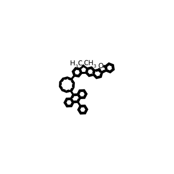 CC1(C)c2ccc(-c3ccccccc(-c4c5ccccc5c(-c5ccccc5)c5ccccc45)cc3)cc2-c2cc3ccc4c5ccccc5oc4c3cc21